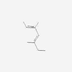 CC=C(C)C=C(C)CC(=O)O